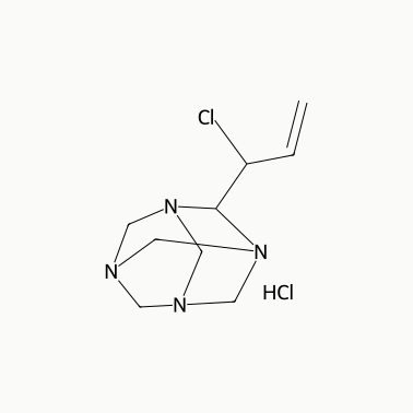 C=CC(Cl)C1N2CN3CN(C2)CN1C3.Cl